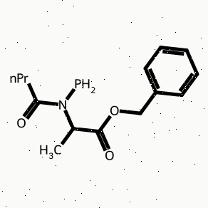 CCCC(=O)N(P)C(C)C(=O)OCc1ccccc1